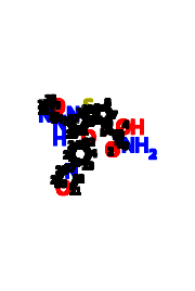 NC(=O)[C@@H](O)C[C@H]1CCc2sc3nc(Nc4ncco4)cc(O[C@H]4CC[C@H](N5CCOCC5)CC4)c3c21